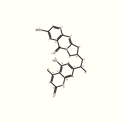 CSc1cnc2nc3n(c(=O)c2c1)CC(CC(C)c1cc(O)c2c(C)cc(=O)oc2c1)C3